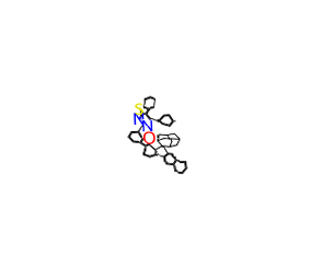 c1ccc(-c2nc(-c3cccc4c3oc3c5c(ccc34)-c3cc4ccccc4cc3C53C4CC5CC(C4)CC3C5)nc3sc4ccccc4c23)cc1